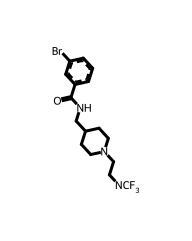 O=C(NCC1CCN(CCNC(F)(F)F)CC1)c1cccc(Br)c1